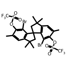 Cc1cc2c(c(Br)c1OS(=O)(=O)C(F)(F)F)C1(CC2(C)C)CC(C)(C)c2cc(C)c(OS(=O)(=O)C(F)(F)F)c(Br)c21